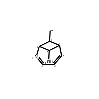 CC1C2C=CC=NC1C2N